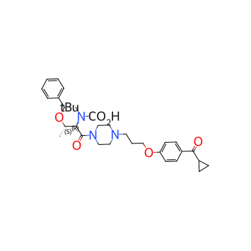 C[C@H](OCc1ccccc1)[C@H](C(=O)N1CCN(CCCOc2ccc(C(=O)C3CC3)cc2)CC1)N(C(=O)O)C(C)(C)C